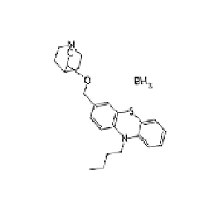 B.CCCCN1c2ccccc2Sc2cc(COC3CN4CCC3CC4)ccc21